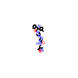 Cc1ccc2c(c1)c(C(=O)N1CCN(c3cnc(C(=O)NCCc4c(C)noc4C)cn3)CC1)c(-c1ccccc1)n2C